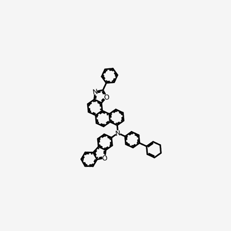 C1=CC(c2ccc(N(c3ccc4c(c3)oc3ccccc34)c3cccc4c3ccc3ccc5nc(-c6ccccc6)oc5c34)cc2)=CCC1